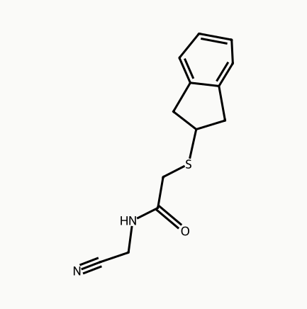 N#CCNC(=O)CSC1Cc2ccccc2C1